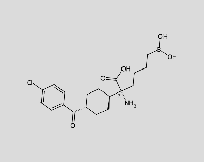 N[C@@](CCCCB(O)O)(C(=O)O)[C@H]1CC[C@H](C(=O)c2ccc(Cl)cc2)CC1